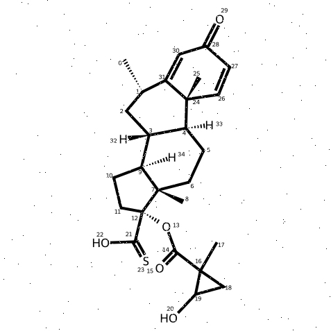 C[C@H]1C[C@@H]2[C@H](CC[C@@]3(C)[C@H]2CC[C@]3(OC(=O)C2(C)CC2O)C(O)=S)[C@@]2(C)C=CC(=O)C=C12